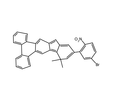 CC1(C)C=C(c2cc(Br)ccc2[N+](=O)[O-])C=C2C=c3cc4c5ccccc5c5ccccc5c4cc3=C21